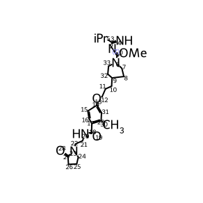 CO/C(=N\C(=N)C(C)C)N1CCC(CCCOc2ccc(C(=O)NCCN3CCCC3=O)c(C)c2)CC1